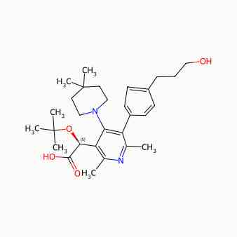 Cc1nc(C)c([C@H](OC(C)(C)C)C(=O)O)c(N2CCC(C)(C)CC2)c1-c1ccc(CCCO)cc1